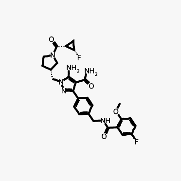 COc1ccc(F)cc1C(=O)NCc1ccc(-c2nn(C[C@@H]3CCN(C(=O)[C@@H]4C[C@@H]4F)C3)c(N)c2C(N)=O)cc1